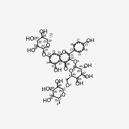 C[C@@H]1O[C@@H](OC[C@H]2O[C@@H](Oc3c(-c4ccc(O)cc4)oc4cc(O[C@@H]5O[C@@H](C)[C@H](O)[C@@H](O)[C@H]5O)cc(O)c4c3=O)[C@H](O)[C@@H](O)[C@H]2O)[C@H](O)[C@H](O)[C@H]1O